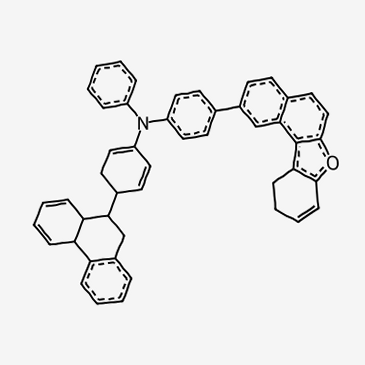 C1=CC2c3ccccc3CC(C3C=CC(N(c4ccccc4)c4ccc(-c5ccc6ccc7oc8c(c7c6c5)CCC=C8)cc4)=CC3)C2C=C1